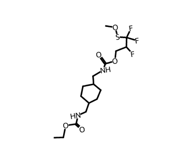 CCOC(=O)NCC1CCC(CNC(=O)OCC(F)C(F)(F)SOC)CC1